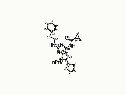 CCCn1c(-n2cccn2)nc2c(NC(=O)C3CC3)nc(NCCc3ccccc3)nc21